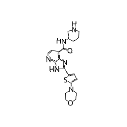 O=C(N[C@H]1CCCNC1)c1ccnc2[nH]c(-c3ccc(N4CCOCC4)s3)nc12